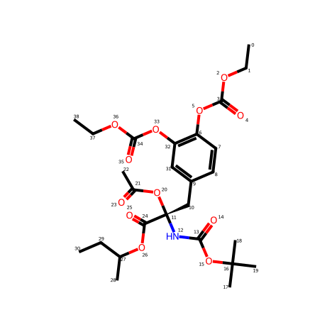 CCOC(=O)Oc1ccc(C[C@](NC(=O)OC(C)(C)C)(OC(C)=O)C(=O)OC(C)CC)cc1OC(=O)OCC